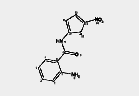 Nc1ccccc1C(=O)Nc1ccc([N+](=O)[O-])s1